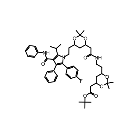 CC(C)c1c(C(=O)Nc2ccccc2)c(-c2ccccc2)c(-c2ccc(F)cc2)n1CCC1CC(CC(=O)NCCC2CC(CC(=O)OC(C)(C)C)OC(C)(C)O2)OC(C)(C)O1